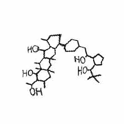 CC(O)C1C(C)CC2(C)CC3(C)CC4C(C5CCC(CC(O)C6CCCC6C(O)C(C)(C)C)CC5)CCC(C)C4C(O)C3C(C)C2(C)C1O